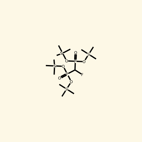 C[Si](C)(C)OP(=O)(O[Si](C)(C)C)C(F)P(=O)(O[Si](C)(C)C)O[Si](C)(C)C